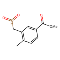 COC(=O)c1ccc(C)c(C[SH](=O)=O)c1